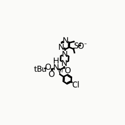 CC1c2c(ncnc2N2CCN(C(=O)[C@@H](Cc3ccc(Cl)cc3)NC(=O)OC(C)(C)C)CC2)C[S+]1[O-]